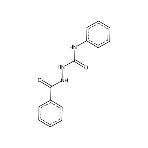 O=C(NNC(=O)c1ccccc1)Nc1ccccc1